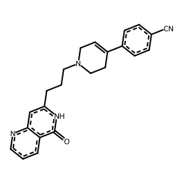 N#Cc1ccc(C2=CCN(CCCc3cc4ncccc4c(=O)[nH]3)CC2)cc1